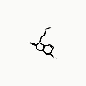 CCSCCn1c(=N)sc2cc(C(F)(F)F)ccc21